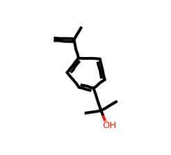 C=C(C)c1ccc(C(C)(C)O)cc1